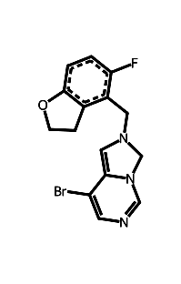 Fc1ccc2c(c1CN1C=C3C(Br)=CN=CN3C1)CCO2